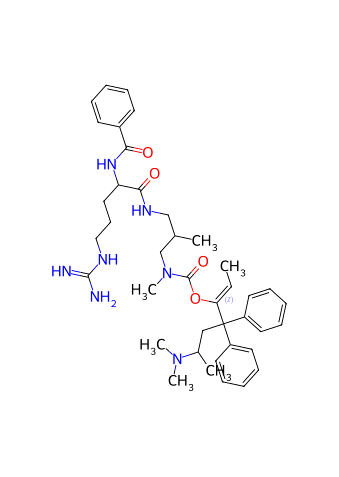 C/C=C(\OC(=O)N(C)CC(C)CNC(=O)C(CCCNC(=N)N)NC(=O)c1ccccc1)C(CC(C)N(C)C)(c1ccccc1)c1ccccc1